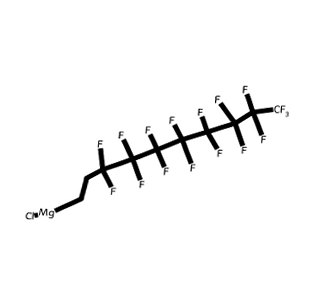 FC(F)(F)C(F)(F)C(F)(F)C(F)(F)C(F)(F)C(F)(F)C(F)(F)C(F)(F)C[CH2][Mg][Cl]